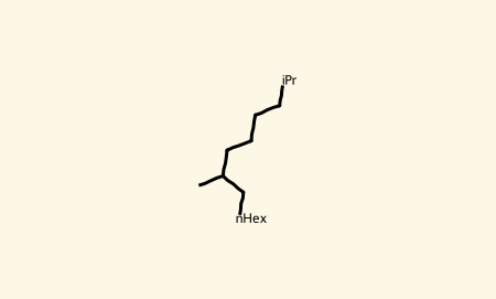 [CH2]C(C)CCCCC(C)CCCCCCC